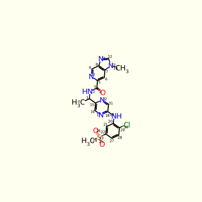 CC(NC(=O)c1cc2c(cn1)ncn2C)c1cnc(Nc2cc(S(C)(=O)=O)ccc2Cl)cn1